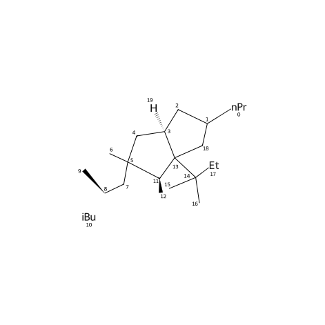 CCCC1C[C@@H]2CC(C)(C[C@H](C)[C@H](C)CC)[C@H](C)C2(C(C)(C)CC)C1